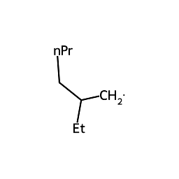 [CH2]C(CC)CC[CH]C